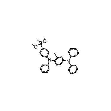 CO[Si](C)(OC)c1ccc(N(c2ccccc2)c2ccc(N(c3ccccc3)c3ccccc3)cc2C)cc1